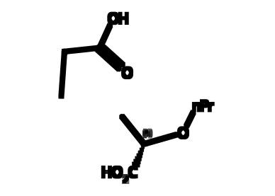 CCC(=O)O.CCCO[C@@H](C)C(=O)O